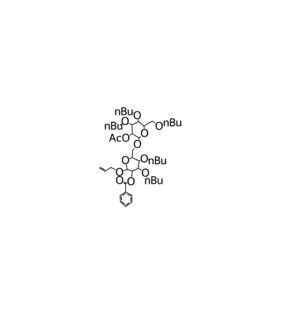 C=CCOC1OC(COC2OC(COCCCC)C(OCCCC)C(OCCCC)C2OC(C)=O)C(OCCCC)C(OCCCC)C1OC(=O)c1ccccc1